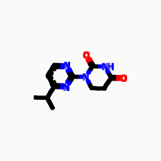 CC(C)c1ccnc(N2CCC(=O)NC2=O)n1